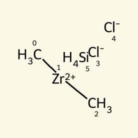 [CH3][Zr+2][CH3].[Cl-].[Cl-].[SiH4]